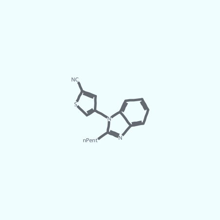 CCCCCc1nc2ccccc2n1-c1csc(C#N)c1